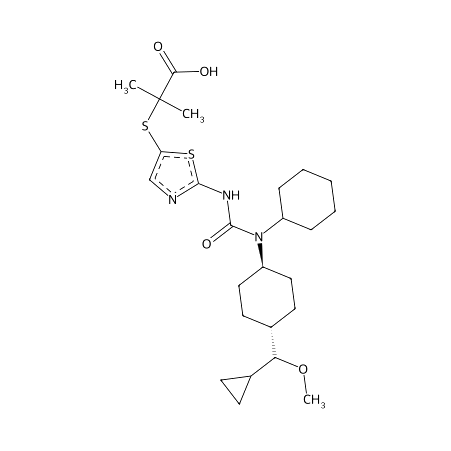 COC(C1CC1)[C@H]1CC[C@H](N(C(=O)Nc2ncc(SC(C)(C)C(=O)O)s2)C2CCCCC2)CC1